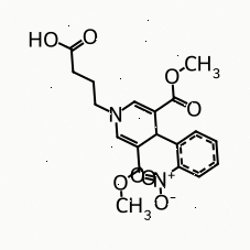 COC(=O)C1=CN(CCCC(=O)O)C=C(C(=O)OC)C1c1ccccc1[N+](=O)[O-]